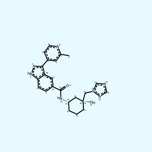 Cc1cc(-c2n[nH]c3ccc(C(=O)N[C@H]4CCC[C@](O)(Cn5cncn5)C4)cc23)ccn1